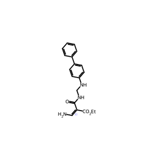 CCOC(=O)/C(=C/N)C(=O)NCNc1ccc(-c2ccccc2)cc1